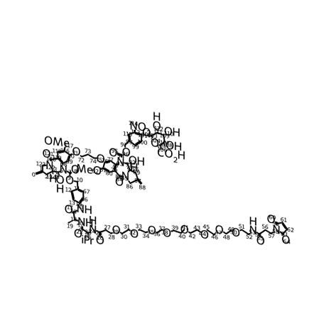 C=C1C[C@H]2[C@H](O)N(C(=O)OCc3ccc(NC(=O)[C@H](C)NC(=O)[C@@H](NC(=O)CCOCCOCCOCCOCCOCCOCCOCCOCCNC(=O)CCN4C(=O)C=CC4=O)C(C)C)cc3)c3cc(OCCCOc4cc5c(cc4OC)C(=O)N4CC(=C)C[C@H]4[C@H](O)N5C(=O)OCc4ccc(O[C@@H]5O[C@H](C(=O)O)[C@@H](O)[C@H](O)[C@H]5O)c([N+](=O)[O-])c4)c(OC)cc3C(=O)N2C1